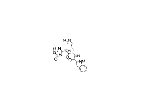 NCCC[C@H](NC(=O)c1cc2ccccc2[nH]1)C(=O)NC(N)=N[N+](=O)[O-]